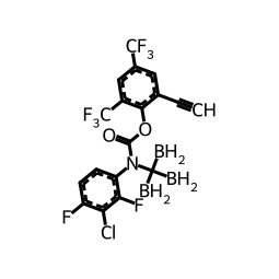 BC(B)(B)N(C(=O)Oc1c(C#C)cc(C(F)(F)F)cc1C(F)(F)F)c1ccc(F)c(Cl)c1F